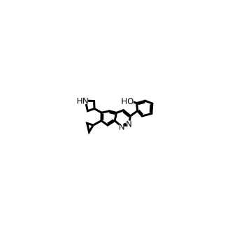 Oc1ccccc1-c1cc2cc(C3CNC3)c(C3CC3)cc2nn1